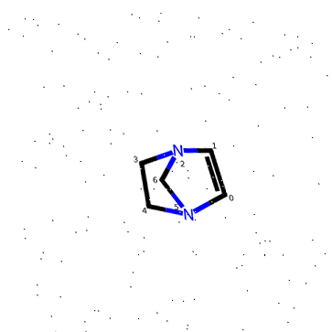 C1=CN2CCN1C2